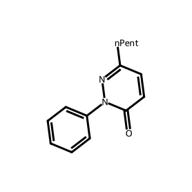 CCCCCc1ccc(=O)n(-c2ccccc2)n1